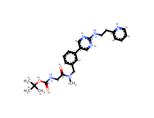 CN(Cc1cccc(-c2cnc(NCCc3ccccn3)nc2)c1)C(=O)CNC(=O)OC(C)(C)C